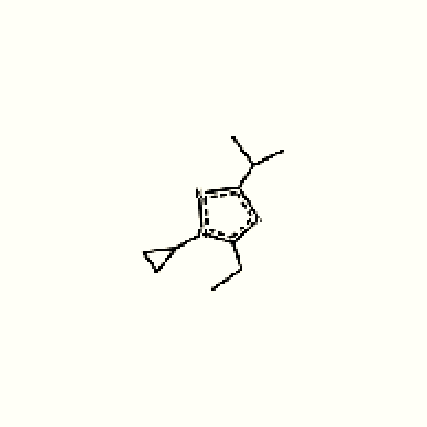 CCc1nc(C(C)C)nn1C1CC1